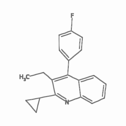 CCc1c(C2CC2)nc2ccccc2c1-c1ccc(F)cc1